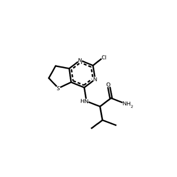 CC(C)C(Nc1nc(Cl)nc2c1SCC2)C(N)=O